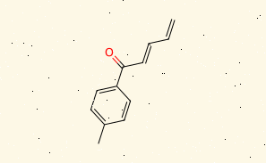 C=CC=CC(=O)c1ccc(C)cc1